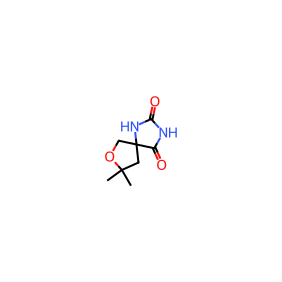 CC1(C)CC2(CO1)NC(=O)NC2=O